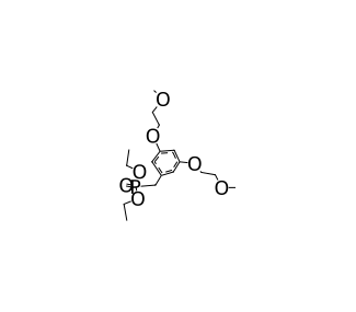 CCOP(=O)(Cc1cc(OCCOC)cc(OCCOC)c1)OCC